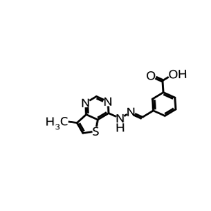 Cc1csc2c(NN=Cc3cccc(C(=O)O)c3)ncnc12